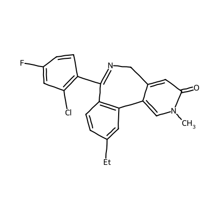 CCc1ccc2c(c1)-c1cn(C)c(=O)cc1CN=C2c1ccc(F)cc1Cl